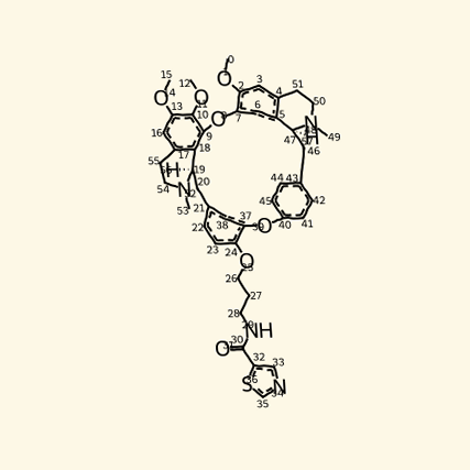 COc1cc2c3cc1Oc1c(OC)c(OC)cc4c1[C@@H](Cc1ccc(OCCCNC(=O)c5cncs5)c(c1)Oc1ccc(cc1)C[C@@H]3N(C)CC2)N(C)CC4